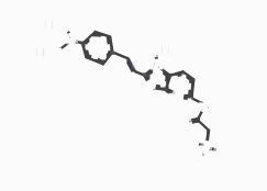 CN(C)c1ccc(/C=C/c2sc3cc(NC(=O)C[N+](C)(C)C)ccc3[n+]2C)cc1